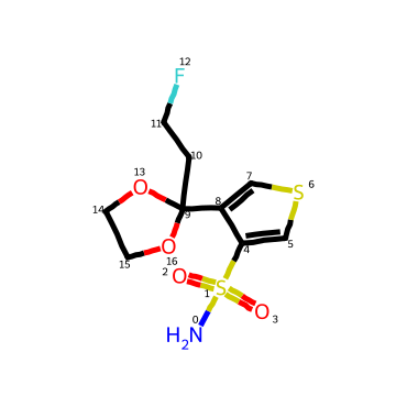 NS(=O)(=O)c1cscc1C1(CCF)OCCO1